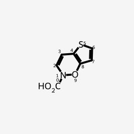 O=C(O)N1C=Cc2sccc2O1